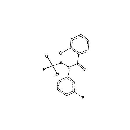 O=C(c1ccccc1Cl)N(SC(F)(Cl)Cl)c1cccc(F)c1